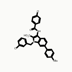 CCCCc1ccc(-c2ccc3c(NC(=O)c4ccc(Cl)cc4)c(C(=O)O)n(Cc4cccc(Cl)c4)c3c2)cc1